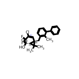 Cc1c(C[C@]2(/C=C(/Cl)C(F)(F)F)[C@@H](C(=O)O)C2(C)C)cccc1-c1ccccc1